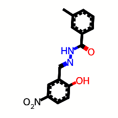 Cc1cccc(C(=O)N/N=C/c2cc([N+](=O)[O-])ccc2O)c1